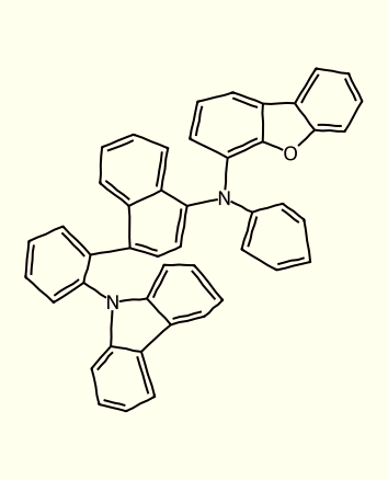 c1ccc(N(c2ccc(-c3ccccc3-n3c4ccccc4c4ccccc43)c3ccccc23)c2cccc3c2oc2ccccc23)cc1